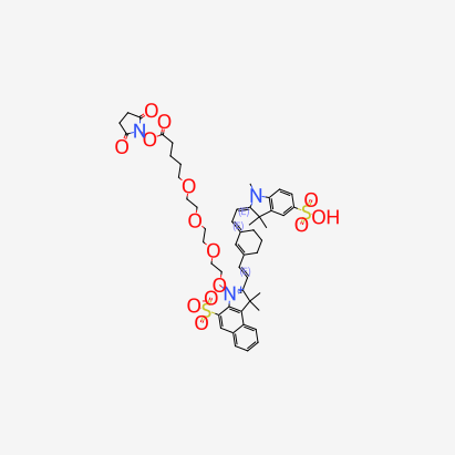 CN1/C(=C/C=C2C=C(/C=C/C3=[N+](OCCOCCOCCOCCCCC(=O)ON4C(=O)CCC4=O)c4c(S(=O)(=O)[O-])cc5ccccc5c4C3(C)C)CCC/2)C(C)(C)c2cc(S(=O)(=O)O)ccc21